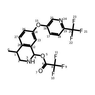 CC1CNC(OC(=O)C(F)(F)F)c2cc(Oc3ccc(C(F)(F)F)nc3)ccc21